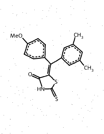 COc1ccc(C(=C2SC(=S)NC2=O)c2cc(C)cc(C)c2)cc1